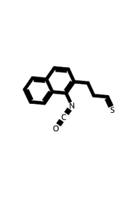 O=C=Nc1c(CCC=S)ccc2ccccc12